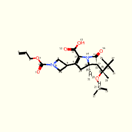 C=CCOC(=O)N1CC(C2=C(C(=O)O)N3C(=O)[C@H]([C@@](C)(O[SiH](C)C)C(C)(C)C)[C@H]3C2)C1